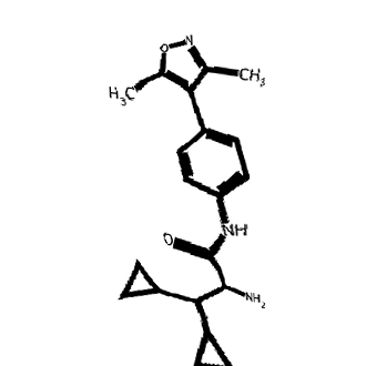 Cc1noc(C)c1-c1ccc(NC(=O)C(N)C(C2CC2)C2CC2)cc1